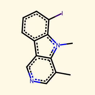 Cc1cncc2c3cccc(I)c3n(C)c12